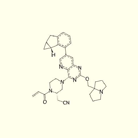 C=CC(=O)N1CCN(c2nc(OCC34CCCN3CCC4)nc3cc(-c4cccc5c4[C@@H]4CC4C5)cnc23)C[C@@H]1CC#N